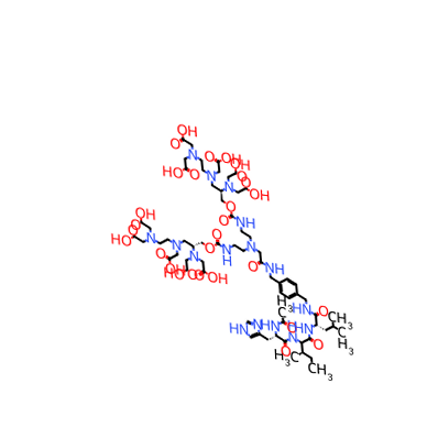 CC[C@@H](C)C(NC(=O)[C@H](Cc1c[nH]cn1)NC(C)=O)C(=O)N[C@@H](CC(C)C)C(=O)NCc1ccc(CNC(=O)CN(CCNC(=O)OC[C@@H](CN(CCN(CC(=O)O)CC(=O)O)CC(=O)O)N(CC(=O)O)CC(=O)O)CCNC(=O)OC[C@@H](CN(CCN(CC(=O)O)CC(=O)O)CC(=O)O)N(CC(=O)O)CC(=O)O)cc1